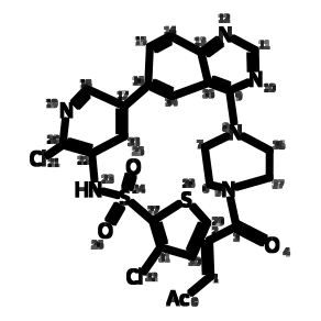 CC(=O)C=CC(=O)N1CCN(c2ncnc3ccc(-c4cnc(Cl)c(NS(=O)(=O)c5sccc5Cl)c4)cc23)CC1